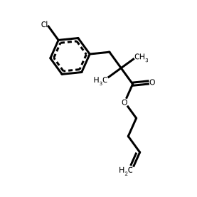 C=CCCOC(=O)C(C)(C)Cc1cccc(Cl)c1